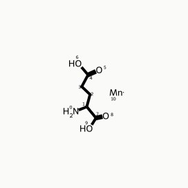 NC(CCC(=O)O)C(=O)O.[Mn]